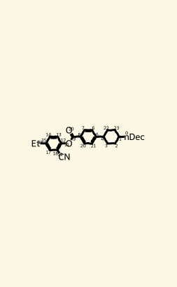 CCCCCCCCCCC1CCC(c2ccc(C(=O)Oc3ccc(CC)cc3C#N)cc2)CC1